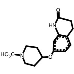 O=C1CCc2ccc(OC3CCN(C(=O)O)CC3)cc2N1